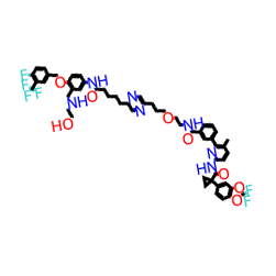 Cc1ccc(NC(=O)C2(c3ccc4c(c3)OC(F)(F)O4)CC2)nc1-c1cccc(C(=O)NCCOCCCc2cnc(CCCCC(=O)Nc3ccc(OCc4ccc(F)c(C(F)(F)F)c4)c(CNCCO)c3)cn2)c1